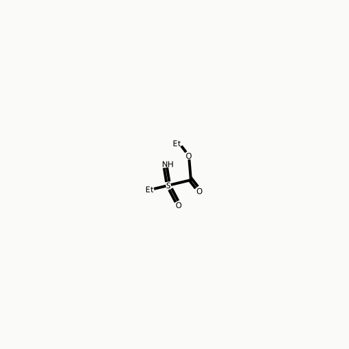 CCOC(=O)S(=N)(=O)CC